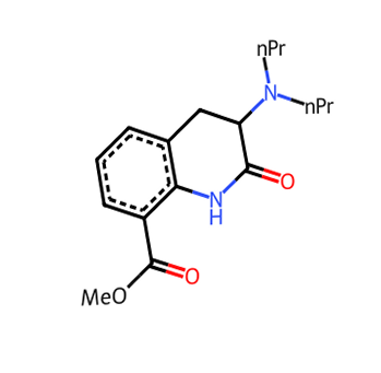 CCCN(CCC)C1Cc2cccc(C(=O)OC)c2NC1=O